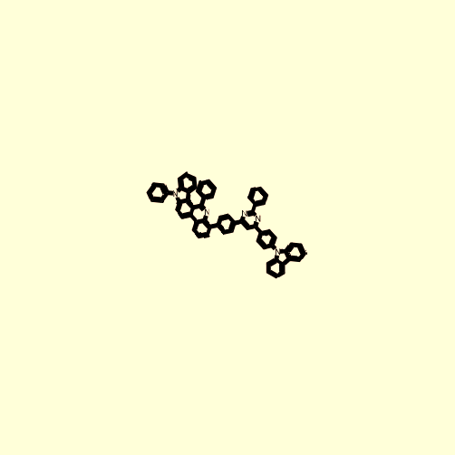 c1ccc(-c2nc(-c3ccc(-c4cccc5c4nc(-c4ccccc4)c4c5ccc5c4c4ccccc4n5-c4ccccc4)cc3)cc(-c3ccc(-n4c5ccccc5c5ccccc54)cc3)n2)cc1